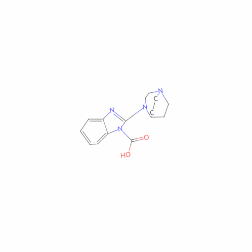 O=C(O)n1c(N2CCN3CCC2CC3)nc2ccccc21